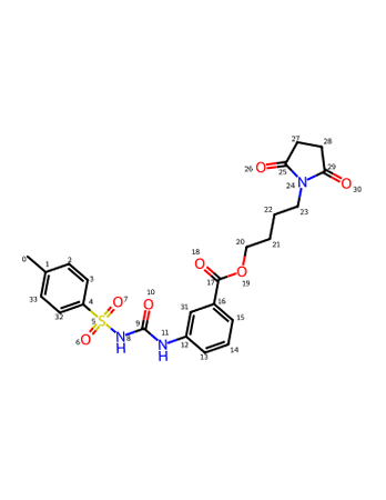 Cc1ccc(S(=O)(=O)NC(=O)Nc2cccc(C(=O)OCCCCN3C(=O)CCC3=O)c2)cc1